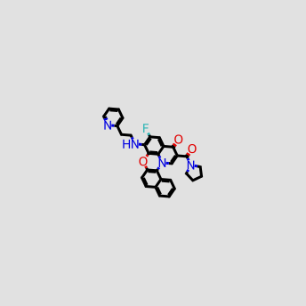 O=C(c1cn2c3c(c(NCCc4ccccn4)c(F)cc3c1=O)Oc1ccc3ccccc3c1-2)N1CCCC1